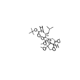 COC1(OC)CO[C@@H]2[C@H](Cl)CN(C(=O)[C@H](CC(C)C)NC(=O)OC(C)(C)C)[C@@H]21